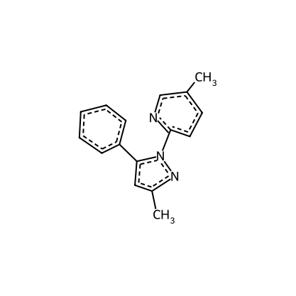 Cc1ccc(-n2nc(C)cc2-c2ccccc2)nc1